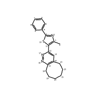 Cc1nc(-c2ccccc2)sc1-c1cc2c(nn1)CCCCCC2